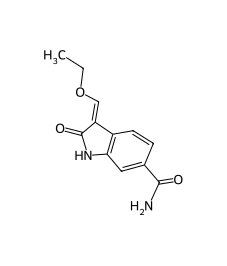 CCOC=C1C(=O)Nc2cc(C(N)=O)ccc21